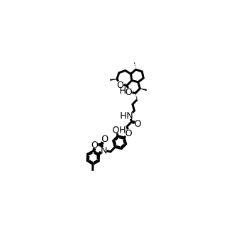 Cc1ccc2oc(=O)n(Cc3ccc(OCC(=O)NCCC[C@@H]4O[C@@H]5O[C@@H](C)CCC6C5C(CC[C@H]6C)[C@H]4C)c(O)c3)c2c1